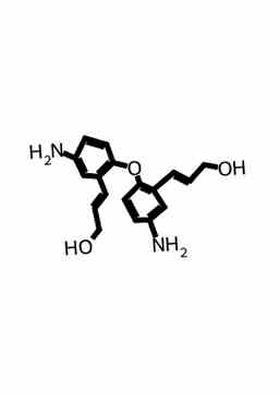 Nc1ccc(Oc2ccc(N)cc2C=CCO)c(C=CCO)c1